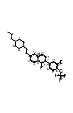 CCCC1CCC(CCc2ccc3c(F)c(-c4ccc(OC(F)(F)F)c(F)c4)ccc3c2)CC1